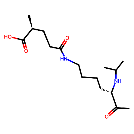 CC(=O)[C@H](CCCCNC(=O)CC[C@H](C)C(=O)O)NC(C)C